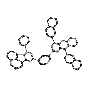 c1ccc(-c2nc(-c3cccc(-c4cc(-c5ccc6ccccc6c5)c5cc6ccccc6c(-c6ccc7ccccc7c6)c5c4)c3)nc3c2-c2cccc4cccc-3c24)cc1